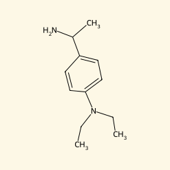 CCN(CC)c1ccc(C(C)N)cc1